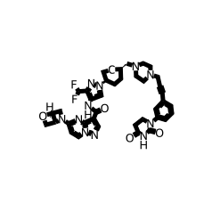 O=C1CCN(c2cccc(C#CCN3CCN(C[C@H]4CC[C@H](n5cc(NC(=O)c6cnn7ccc(N8C[C@@H]9OCC98)nc67)c(C(F)F)n5)CC4)CC3)c2)C(=O)N1